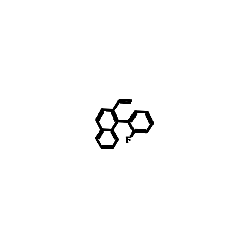 C=Cc1ccc2ccccc2c1-c1ccccc1F